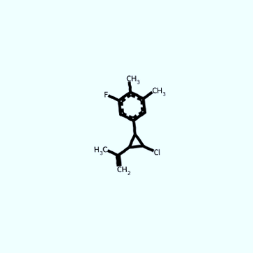 C=C(C)C1C(Cl)C1c1cc(C)c(C)c(F)c1